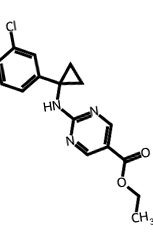 CCOC(=O)c1cnc(NC2(c3cccc(Cl)c3)CC2)nc1